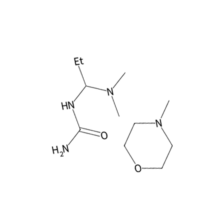 CCC(NC(N)=O)N(C)C.CN1CCOCC1